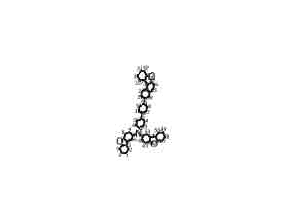 c1ccc2c(c1)oc1ccc(N(c3ccc(-c4ccc(-c5ccc6c(ccc7oc8ccccc8c76)c5)cc4)cc3)c3ccc4oc5ccccc5c4c3)cc12